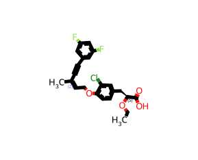 CCO[C@@H](Cc1ccc(OC/C=C(/C)C#Cc2cc(F)cc(F)c2)c(Cl)c1)C(=O)O